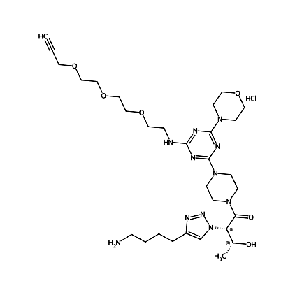 C#CCOCCOCCOCCNc1nc(N2CCOCC2)nc(N2CCN(C(=O)[C@H]([C@@H](C)O)n3cc(CCCCN)nn3)CC2)n1.Cl